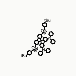 CC(C)(C)c1ccc(-c2nnc(-c3ccc4c(c3)C3(c5ccc(N(c6ccccc6)c6ccccc6)cc5-c5cc(N(c6ccccc6)c6ccccc6)ccc53)c3cc(-c5nnc(-c6ccc(C(C)(C)C)cc6)o5)ccc3-4)o2)cc1